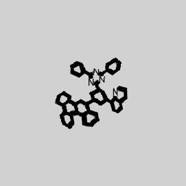 c1ccc(-c2nc(-c3ccccc3)nc(-c3cc(-c4cc5c6ccccc6c6ccccc6c5c5ccccc45)cc(-c4cccc5cccnc45)c3)n2)cc1